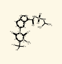 CC(C)NS(=O)(=O)NC(=O)c1nsc2ccc(-n3c(=O)cc(C(F)(F)F)n(C)c3=O)cc12